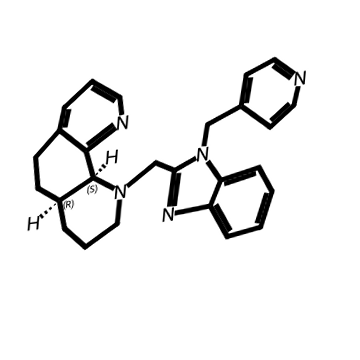 c1cnc2c(c1)CC[C@@H]1CCCN(Cc3nc4ccccc4n3Cc3ccncc3)[C@H]21